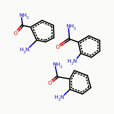 NC(=O)c1ccccc1N.NC(=O)c1ccccc1N.NC(=O)c1ccccc1N